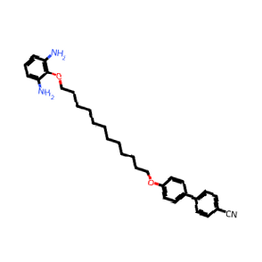 N#Cc1ccc(-c2ccc(OCCCCCCCCCCCCOc3c(N)cccc3N)cc2)cc1